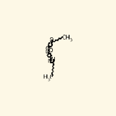 CCCCCCCCc1cnc(-c2ccc(OC(=O)OC3CCN(C(=O)CCCCCCC)CC3)cc2)nc1